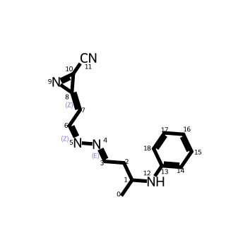 CC(C/C=N/N=C\C=C1N=C/1C#N)Nc1ccccc1